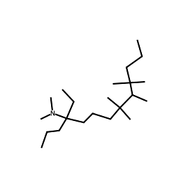 CCCC(C)(C)C(C)C(C)(C)CCCC(CC)(CCC)N(C)C